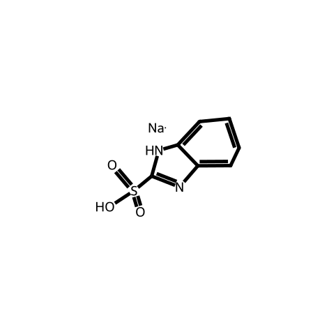 O=S(=O)(O)c1nc2ccccc2[nH]1.[Na]